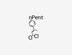 CCCCCc1ccc(/C(C)=C/C(=O)Cl)cc1